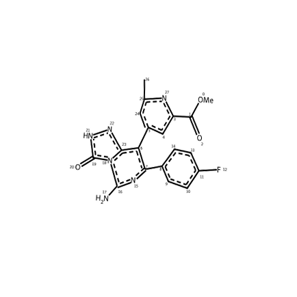 COC(=O)c1cc(-c2c(-c3ccc(F)cc3)nc(N)n3c(=O)[nH]nc23)cc(C)n1